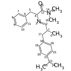 CC(/C=N/C(Cc1ccccc1)C(=O)N(C)C)Cc1ccc(C(C)C)cc1